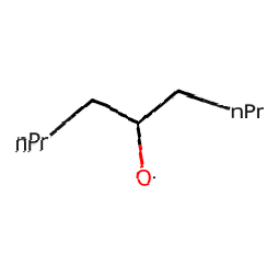 CCCCC([O])CCCC